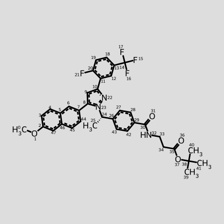 COc1ccc2cc(-c3cc(-c4cc(C(F)(F)F)ccc4F)nn3[C@@H](C)c3ccc(C(=O)NCCC(=O)OC(C)(C)C)cc3)ccc2c1